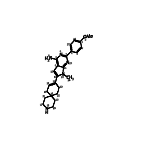 COc1ccc(-c2nc(N)c3cc(C4=CCC5(CCNCC5)CC4)n(C)c3n2)cc1